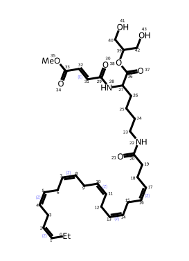 CC/C=C\C/C=C\C/C=C\C/C=C\C/C=C\C/C=C\CCC(=O)NCCCCC(NC(=O)/C=C/C(=O)OC)C(=O)OC(CO)CO